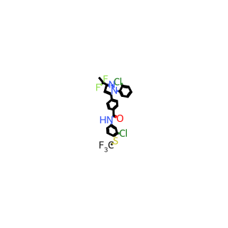 CC(F)(F)c1cc(-c2ccc(C(=O)Nc3ccc(SC(F)(F)F)c(Cl)c3)cc2)n(-c2ccccc2Cl)n1